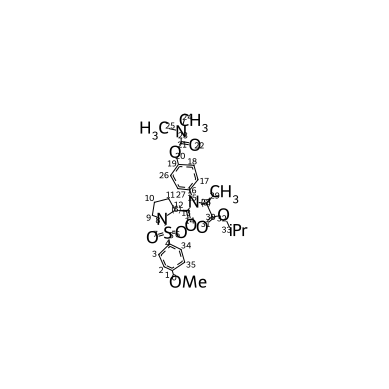 COc1ccc(S(=O)(=O)N2CCC[C@H]2C(=O)N(c2ccc(OC(=O)N(C)C)cc2)[C@@H](C)C(=O)OC(C)C)cc1